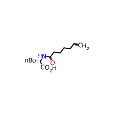 C=CCCCCC(=O)N[C@@H](CCCC)C(=O)O